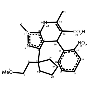 COCCC1(c2nn(C)c3c2C(c2ccccc2[N+](=O)[O-])C(C(=O)O)=C(C)N3)CCCC1